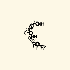 Cn1cc(-c2ccc(-c3cnc(C(=O)Nc4ccc(C(=O)N5CCN(C(=O)C6CCNCC6)CC5)c(Cl)c4)n3C)c(F)c2F)cn1